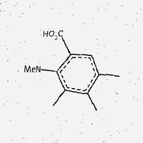 CNc1c(C(=O)O)cc(C)c(C)c1C